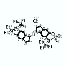 CC[Si](CC)(CC)Oc1cc2c(cc1O[Si](CC)(CC)CC)[CH]([Ti+2][CH]1C=Cc3cc(O[Si](CC)(CC)CC)c(O[Si](CC)(CC)CC)cc31)C=C2.[Cl-].[Cl-]